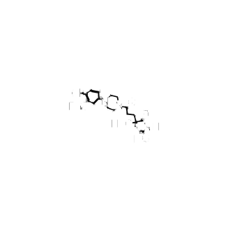 CC1(CCC(=O)N2CCN(c3ccc(Cl)c(C(F)(F)F)c3)CC2)NC(=O)NC1=O